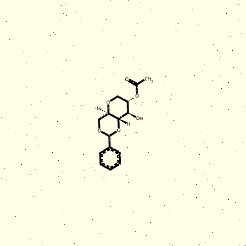 CC(=O)O[C@H]1CO[C@@H]2COC(c3ccccc3)O[C@H]2[C@@H]1O